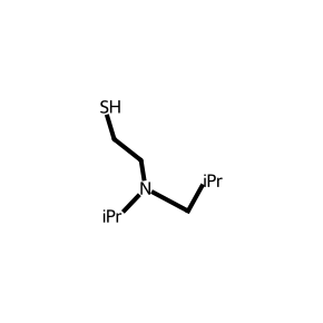 CC(C)CN(CCS)C(C)C